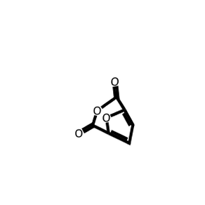 O=c1oc(=O)c2ccc1o2